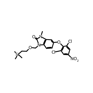 Cn1c(=O)n(COCC[Si](C)(C)C)c2ccc(Oc3c(Cl)cc([N+](=O)[O-])cc3Cl)cc21